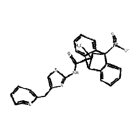 CC1(C(=O)Nc2nc(Cc3ccccn3)cs2)CC2([N+](=O)[O-])c3ccccc3C1c1ccccc12